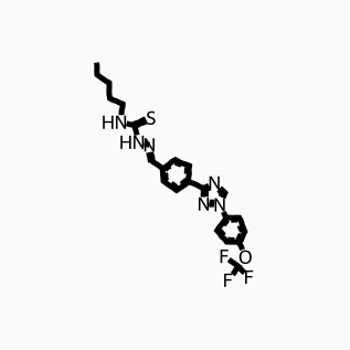 CCCCCNC(=S)N/N=C/c1ccc(-c2ncn(-c3ccc(OC(F)(F)F)cc3)n2)cc1